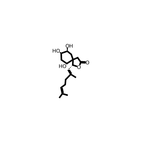 CC(C)=CCC/C(C)=C/[C@H]1OC(=O)CC12C[C@H](O)[C@H](O)CC2O